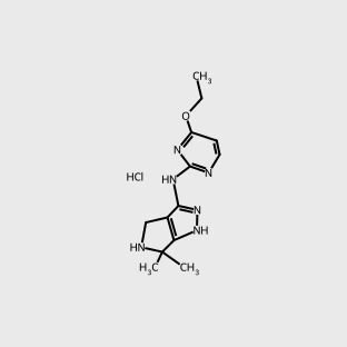 CCOc1ccnc(Nc2n[nH]c3c2CNC3(C)C)n1.Cl